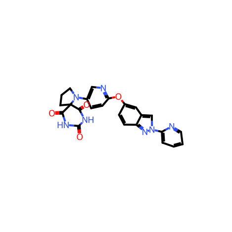 O=C1NC(=O)C2(CCCN2c2ccc(Oc3ccc4nn(-c5ccccn5)cc4c3)nc2)C(=O)N1